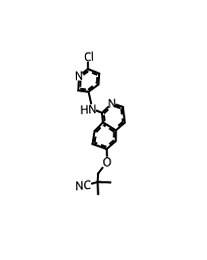 CC(C)(C#N)COc1ccc2c(Nc3ccc(Cl)nc3)nccc2c1